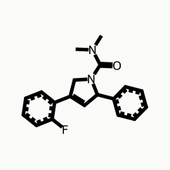 CN(C)C(=O)N1CC(c2ccccc2F)=CC1c1ccccc1